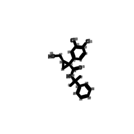 CC(C)(NC(=O)[C@@]1(c2ccc(Cl)c(Cl)c2)C[C@H]1CO)c1ccccc1